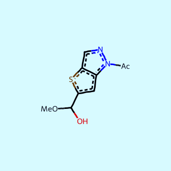 COC(O)c1cc2c(cnn2C(C)=O)s1